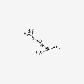 CCCCCCCCC(CCCCCCCC)OC(=O)CCCCCC(=O)OCC(CO)CCCCCCCCC(=O)OCC(CCCC)CCCCCC